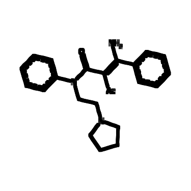 CC(=O)/C(C(=O)N(CCN1CCCC1)c1ccccc1)=C(/N)c1ccccc1